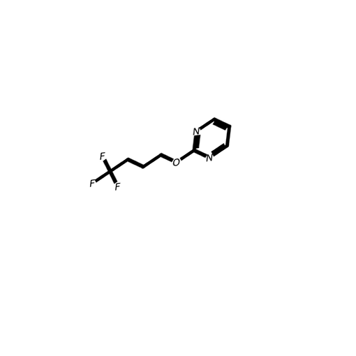 FC(F)(F)CCCOc1ncccn1